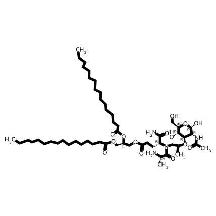 CCCCCCCCCCCCCCCC(=O)OC[C@H](COC(=O)CC[C@H](C(N)=O)N(CC(C)O[C@H]1[C@H](O)[C@@H](CO)O[C@H](O)[C@@H]1NC(C)=O)C(=O)[C@H](C)N)OC(=O)CCCCCCCCCCCCCCC